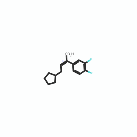 O=C(O)/C(=C/CC1CCCC1)c1ccc(F)c(F)c1